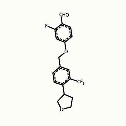 O=Cc1ccc(OCc2ccc(C3CCOC3)c(C(F)(F)F)c2)cc1F